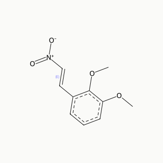 COc1cccc(/C=C/[N+](=O)[O-])c1OC